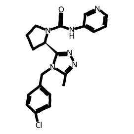 Cc1nnc([C@H]2CCCN2C(=O)Nc2cccnc2)n1Cc1ccc(Cl)cc1